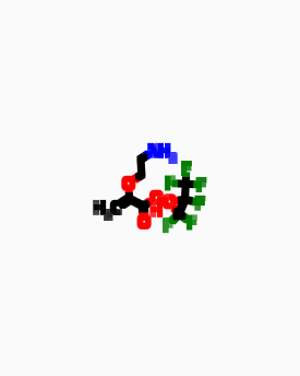 C=C(OCCN)C(=O)O.FC(F)(F)C1(F)OC1(F)F